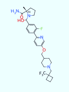 C[C@@]1(C(N)=O)CCCN1C(O)c1ccc(-c2ccc(OCC3CCN(CC4(C(F)(F)F)CCC4)CC3)cn2)c(F)c1